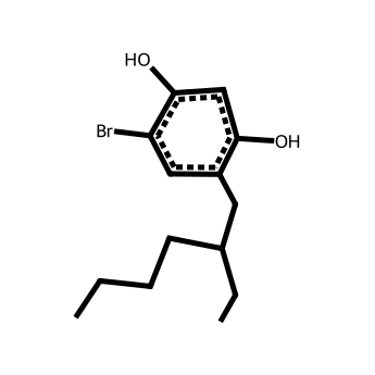 CCCCC(CC)Cc1cc(Br)c(O)cc1O